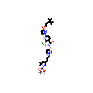 CC(C)(C)OC(=O)N1CC(CCCn2ccc(SNC(=O)c3ccc(-n4ccc(OCCC5C(C)(C)C5(C)C)n4)nc3Cl)n2)CC1(C)C